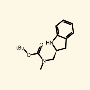 CN(C[C@@H]1Cc2ccccc2N1)C(=O)OC(C)(C)C